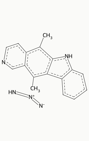 Cc1c2ccncc2c(C)c2c1[nH]c1ccccc12.[N-]=[N+]=N